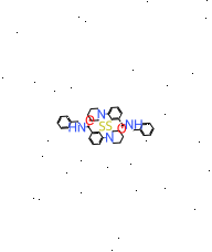 O=C(NCc1ccccc1)c1cccc(N2CCCCC2)c1SSc1c(C(=O)NCc2ccccc2)cccc1N1CCCCC1